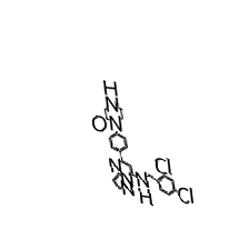 O=C1CNCCN1c1ccc(-c2cc(NCc3ccc(Cl)cc3Cl)n3nccc3n2)cc1